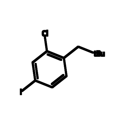 CC(C)(C)Cc1ccc(I)cc1Cl